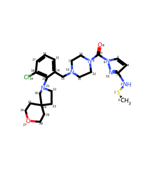 CSNc1ccn(C(=O)N2CCN(Cc3cccc(Cl)c3N3CCC4(CCOCC4)C3)CC2)n1